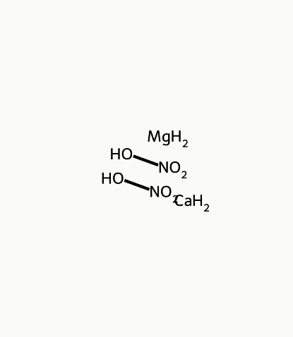 O=[N+]([O-])O.O=[N+]([O-])O.[CaH2].[MgH2]